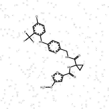 COc1cc(C(=O)NC2(C(=O)NCc3ccc(Nc4ccc(Cl)cc4C(F)(F)F)cn3)CC2)on1